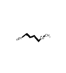 CCCC=CC=[CH][Co][CH3]